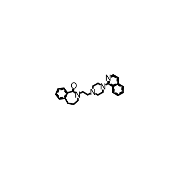 O=C1c2ccccc2CCCN1CCN1CCN(c2nccc3ccccc23)CC1